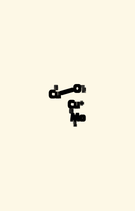 [Cu+].[Mo].[O-][Cu]